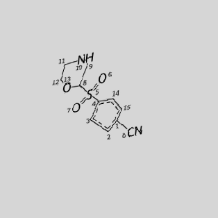 N#Cc1ccc(S(=O)(=O)C2CNCCO2)cc1